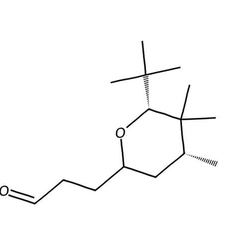 C[C@@H]1CC(CCC=O)O[C@H](C(C)(C)C)C1(C)C